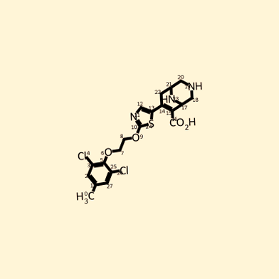 Cc1cc(Cl)c(OCCOc2ncc(C3=C(C(=O)O)C4CNCC(C3)N4)s2)c(Cl)c1